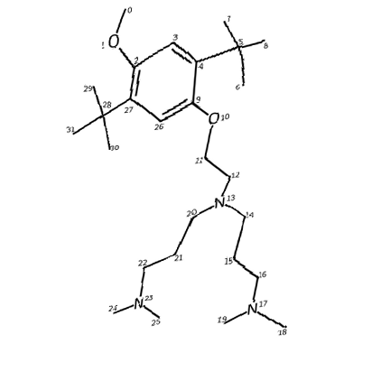 COc1cc(C(C)(C)C)c(OCCN(CCCN(C)C)CCCN(C)C)cc1C(C)(C)C